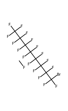 CF.FC(F)(F)C(F)(F)C(F)(F)C(F)(F)C(F)(F)C(F)(F)C(F)(F)C(F)(F)Br